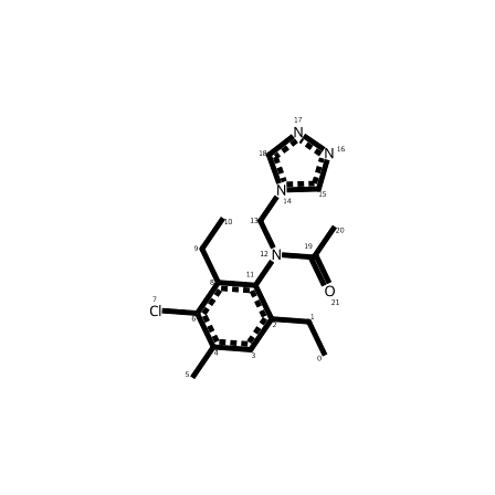 CCc1cc(C)c(Cl)c(CC)c1N(Cn1cnnc1)C(C)=O